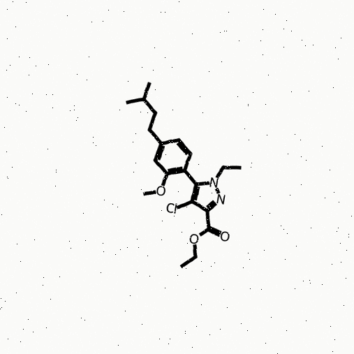 CCOC(=O)c1nn(CC)c(-c2ccc(CCC(C)C)cc2OC)c1Cl